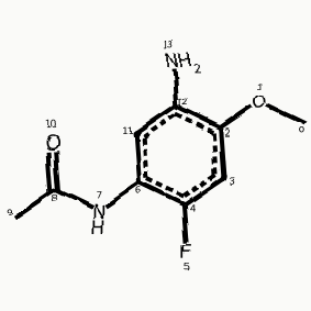 COc1cc(F)c(NC(C)=O)cc1N